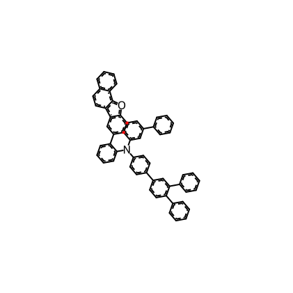 c1ccc(-c2cccc(N(c3ccc(-c4ccc(-c5ccccc5)c(-c5ccccc5)c4)cc3)c3ccccc3-c3ccc4oc5c6ccccc6ccc5c4c3)c2)cc1